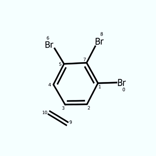 Brc1cccc(Br)c1Br.C=C